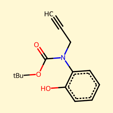 C#CCN(C(=O)OC(C)(C)C)c1ccccc1O